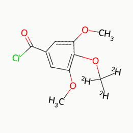 [2H]C([2H])([2H])Oc1c(OC)cc(C(=O)Cl)cc1OC